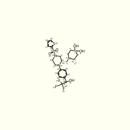 C[C@H]1CS(O)(O)CCN1C[C@H]1CN(S(=O)(=O)c2cccs2)CCN1c1ccc([C@@](C)(O)C(F)(F)F)cc1